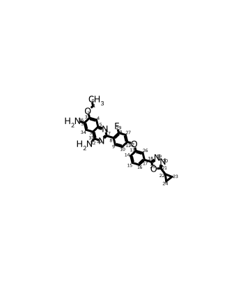 CCOc1cc2nc(-c3ccc(Oc4cccc(-c5nnc(C6CC6)o5)c4)cc3F)nc(N)c2cc1N